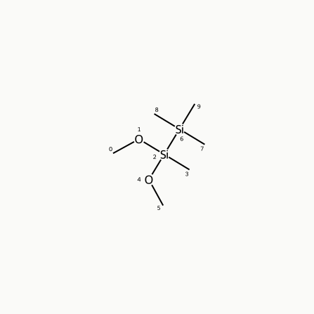 CO[Si](C)(OC)[Si](C)(C)C